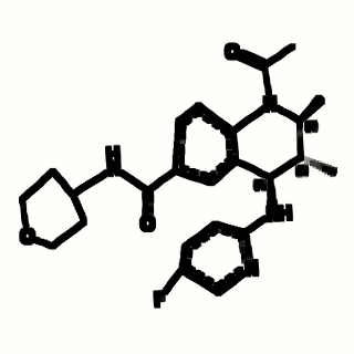 CC(=O)N1c2ccc(C(=O)NC3CCOCC3)cc2[C@H](Nc2ccc(F)cn2)[C@@H](C)[C@@H]1C